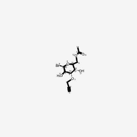 C#CCO[C@@H]1C(O)[C@@H](Br)OC(COC(C)=O)[C@@H]1O